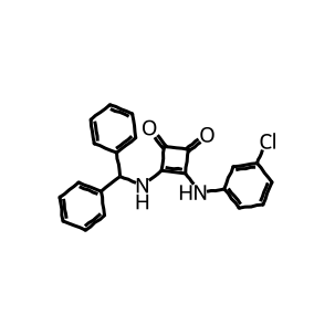 O=c1c(Nc2cccc(Cl)c2)c(NC(c2ccccc2)c2ccccc2)c1=O